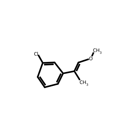 COC=C(C)c1cccc(Cl)c1